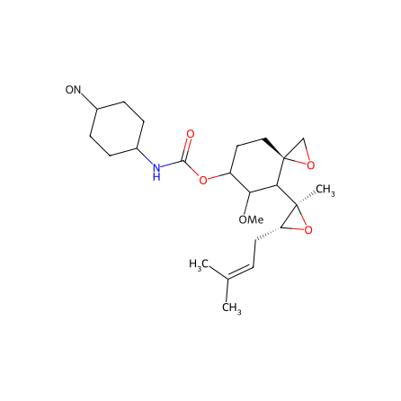 COC1C(OC(=O)NC2CCC(N=O)CC2)CC[C@]2(CO2)C1[C@@]1(C)O[C@@H]1CC=C(C)C